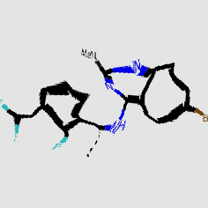 CNc1nc(N[C@H](C)c2cccc(C(F)F)c2F)c2cc(Br)ccc2n1